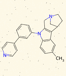 Cc1ccc2c(c1)c1c(n2-c2cccc(-c3ccncc3)c2)CN2CCC1C2